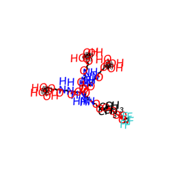 CC(C)(CCOCCOCCC(=O)Oc1c(F)c(F)c(F)c(F)c1F)OCC(C)(C)OCCOCCN/C=C(/CCC(=O)NC(COCCC(=O)NCCCNC(=O)CCCCO[C@H]1C[C@@H](O)[C@@H](O)[C@@H](CO)O1)(COCCC(=O)NCCCNC(=O)CCCCO[C@H]1C[C@@H](O)[C@@H](O)[C@@H](CO)O1)COCCC(=O)NCCCNC(=O)CCCCO[C@H]1C[C@@H](O)[C@@H](O)[C@@H](CO)O1)N=N